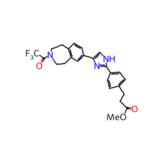 COC(=O)CCc1ccc(-c2nc(-c3ccc4c(c3)CCN(C(=O)C(F)(F)F)CC4)c[nH]2)cc1